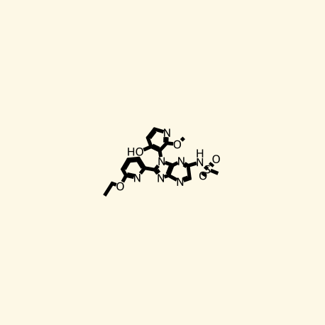 CCOC1=NC(c2nc3ncc(NS(C)(=O)=O)nc3n2-c2c(O)ccnc2OC)=C=C=C1